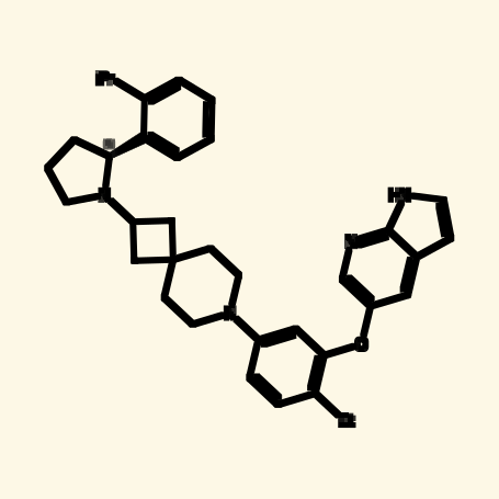 CCc1ccc(N2CCC3(CC2)CC(N2CCC[C@H]2c2ccccc2C(C)C)C3)cc1Oc1cnc2[nH]ccc2c1